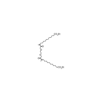 CCOC(=O)CCCCCCCCCCN(C)C(=O)COCCOCC(=O)N(C)CCCCCCCCCCC(=O)OCC